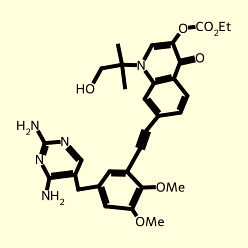 CCOC(=O)Oc1cn(C(C)(C)CO)c2cc(C#Cc3cc(Cc4cnc(N)nc4N)cc(OC)c3OC)ccc2c1=O